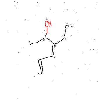 C=CC=C(CC=O)C(C)O